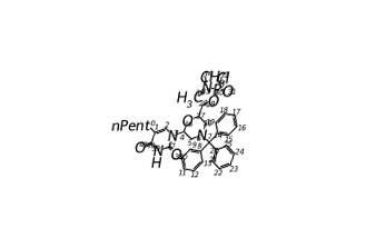 CCCCCc1cn(C2CN(C(c3ccccc3)(c3ccccc3)c3ccccc3)CC(COP(=O)(Cl)N(C)C)O2)c(=O)[nH]c1=O